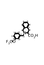 O=C(O)C1Cc2ccccc2CN1Cc1cccc(OC(F)(F)F)c1